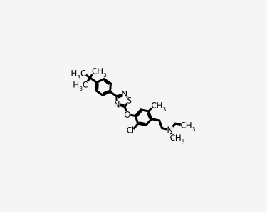 CCN(C)CCc1cc(Cl)c(Oc2nc(-c3ccc(C(C)(C)C)cc3)ns2)cc1C